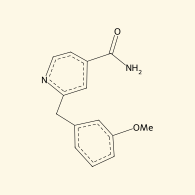 COc1cccc(Cc2cc(C(N)=O)ccn2)c1